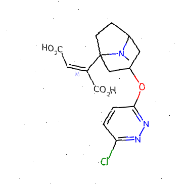 CN1C2CCC1(/C(=C\C(=O)O)C(=O)O)CC(Oc1ccc(Cl)nn1)C2